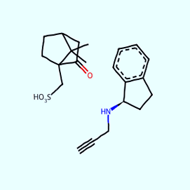 C#CCN[C@@H]1CCc2ccccc21.CC1(C)C2CCC1(CS(=O)(=O)O)C(=O)C2